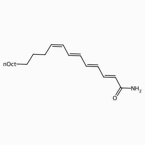 CCCCCCCCCCC\C=C/C=C/C=C/C=C/C(N)=O